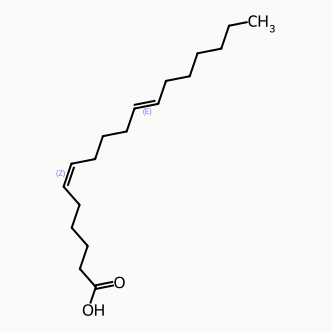 CCCCCC/C=C/CCC/C=C\CCCCC(=O)O